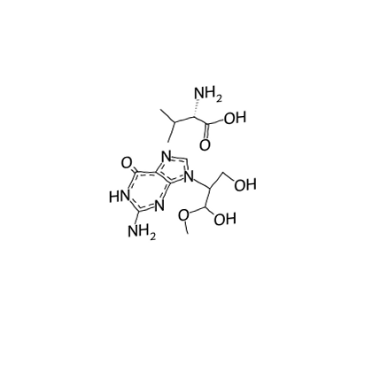 CC(C)[C@H](N)C(=O)O.COC(O)C(CO)n1cnc2c(=O)[nH]c(N)nc21